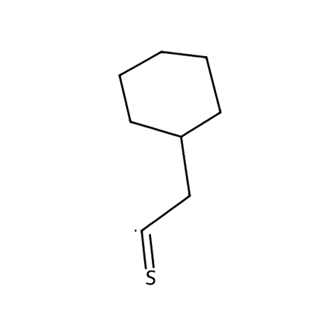 S=[C]CC1CCCCC1